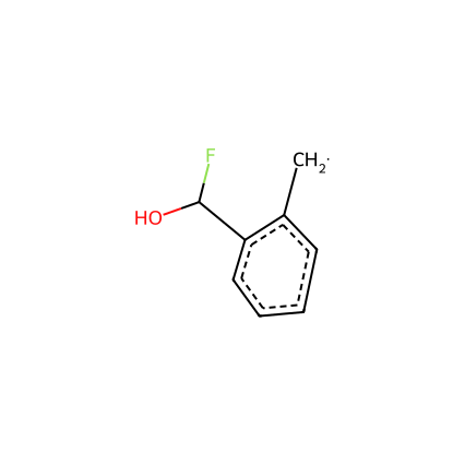 [CH2]c1ccccc1C(O)F